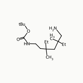 CCC(C)(CN)CC(C)(CC)CCNC(=O)OC(C)(C)C